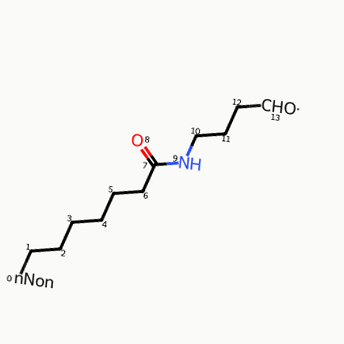 CCCCCCCCCCCCCCCC(=O)NCCC[C]=O